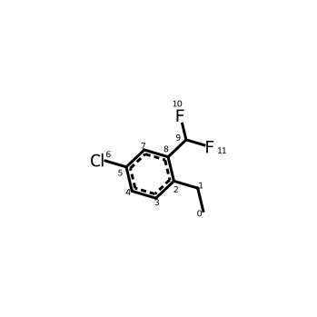 CCc1ccc(Cl)cc1C(F)F